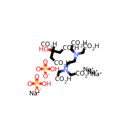 O=C(O)CC(O)(CC(=O)O)C(=O)O.O=C(O)CN(CCN(CC(=O)O)CC(=O)O)CC(=O)O.O=P([O-])([O-])O.O=P([O-])([O-])O.[Na+].[Na+].[Na+].[Na+]